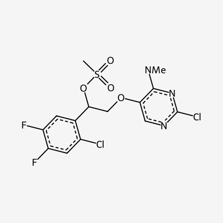 CNc1nc(Cl)ncc1OCC(OS(C)(=O)=O)c1cc(F)c(F)cc1Cl